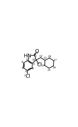 O=C1Nc2ccc(Cl)cc2C1(Cl)CC1CCCCC1